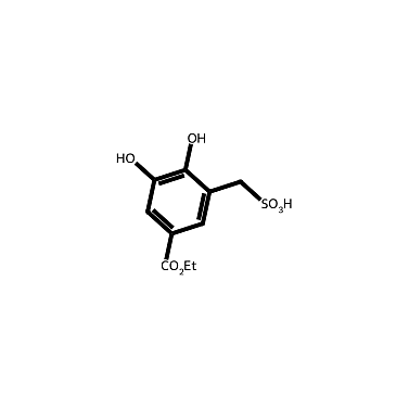 CCOC(=O)c1cc(O)c(O)c(CS(=O)(=O)O)c1